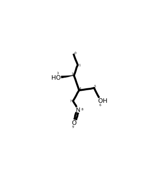 CC[C@H](O)C(CO)CN=O